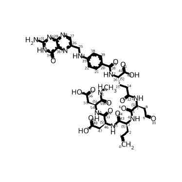 C=CC[C@H](NC(=O)[C@H](CC=O)NC(=O)CC[C@H](NC(=O)c1ccc(NCc2cnc3nc(N)[nH]c(=O)c3n2)cc1)C(=O)O)C(=O)N[C@@H](CC(=O)O)C(=O)N[C@@H](CC(=O)O)C(=O)NC